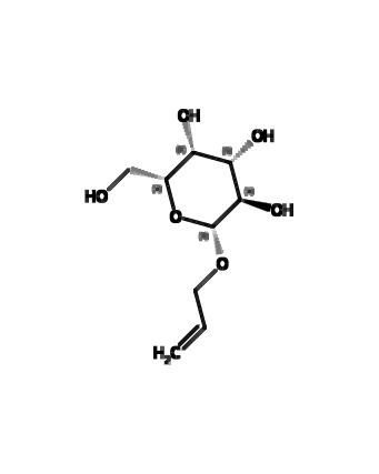 C=CCO[C@@H]1O[C@H](CO)[C@H](O)[C@H](O)[C@H]1O